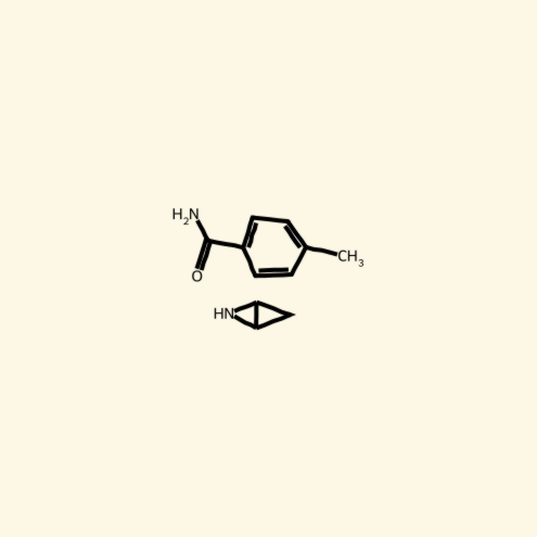 C1C2NC12.Cc1ccc(C(N)=O)cc1